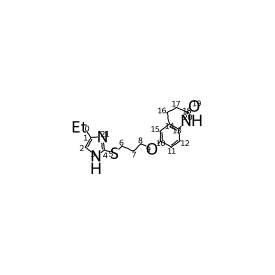 CCc1c[nH]c(SCCCOc2ccc3c(c2)CCC(=O)N3)n1